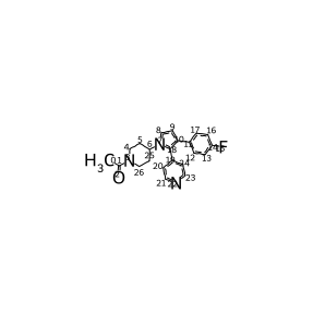 CC(=O)N1CCC(n2ccc(-c3ccc(F)cc3)c2-c2ccncc2)CC1